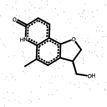 Cc1cc2c(c3ccc(=O)[nH]c13)OCC2CO